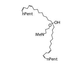 CCCCC/C=C\C/C=C\CCCCCCCCC(O)(CCCCCCCC/C=C\C/C=C\CCCCC)OCCCNC